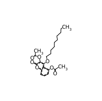 CCCCCCCCCCOc1c(OC(C)=O)c(=O)oc2cccc(OC(C)=O)c12